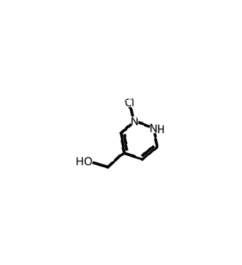 OCC1=CN(Cl)NC=C1